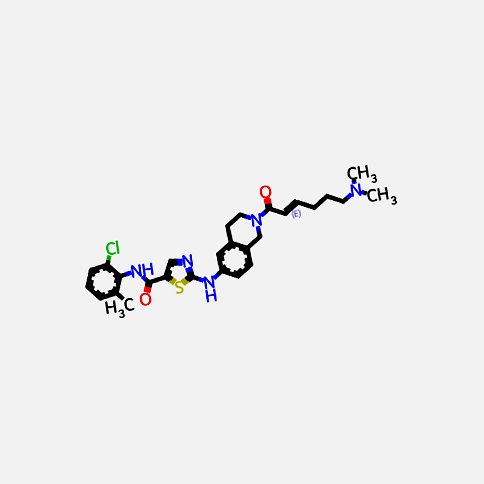 Cc1cccc(Cl)c1NC(=O)c1cnc(Nc2ccc3c(c2)CCN(C(=O)/C=C/CCCN(C)C)C3)s1